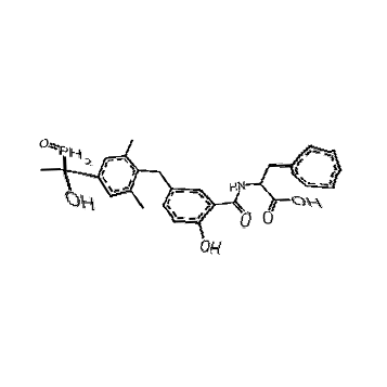 Cc1cc(C(C)(O)[PH2]=O)cc(C)c1Cc1ccc(O)c(C(=O)NC(Cc2ccccc2)C(=O)O)c1